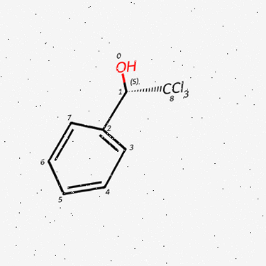 O[C@@H](c1ccccc1)C(Cl)(Cl)Cl